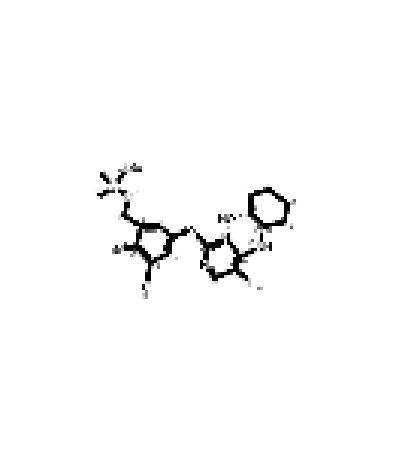 CC(C)(C)[Si](C)(C)OCc1cc(Nc2ncc(F)c(N[C@@H]3CCCC[C@H]3C#N)n2)cc(Cl)c1Br